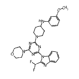 COc1cccc(NC2CCN(c3nc(N4CCOCC4)nc(-n4c(C(F)F)nc5ccccc54)n3)CC2)c1